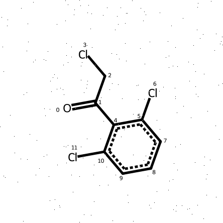 O=C(CCl)c1c(Cl)cccc1Cl